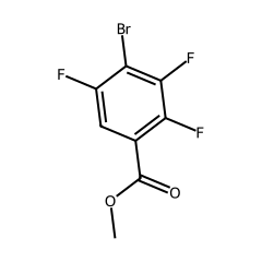 COC(=O)c1cc(F)c(Br)c(F)c1F